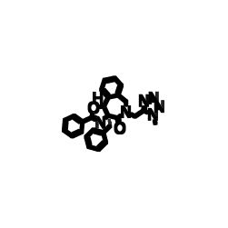 Cn1nnnc1CN1Cc2ccccc2[C@@H]2OC(c3ccccc3)=N[C@]2(Cc2ccccc2)C1=O